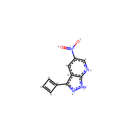 O=[N+]([O-])c1cnc2[nH]nc(C3=CC=C3)c2c1